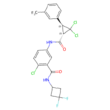 O=C(NC1CC(F)(F)C1)c1cc(NC(=O)[C@@H]2[C@@H](c3cccc(C(F)(F)F)c3)C2(Cl)Cl)ccc1Cl